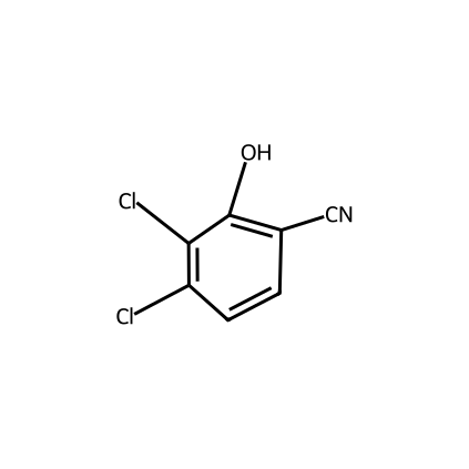 N#Cc1ccc(Cl)c(Cl)c1O